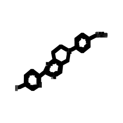 CSc1ccc(N2CCc3nc(-c4ccc(F)cn4)ncc3C2)cc1